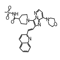 CS(=O)(=O)NC(=O)C1CCN(c2c(C=Cc3ccc4ccccc4n3)nc3c(N4CCOCC4)ccnn23)CC1